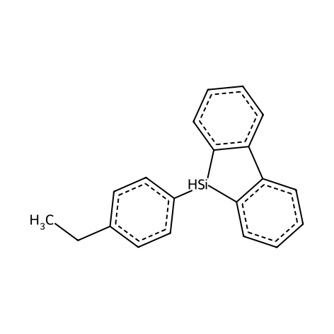 CCc1ccc([SiH]2c3ccccc3-c3ccccc32)cc1